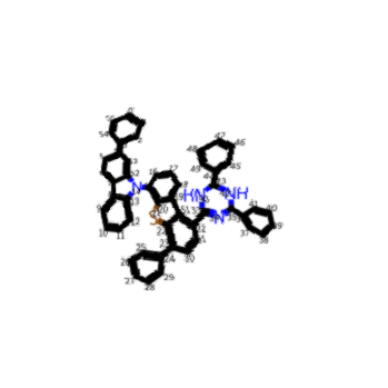 c1ccc(-c2ccc3c4ccccc4n(-c4cccc5c4sc4c(-c6ccccc6)ccc(C6=NC(c7ccccc7)NC(c7ccccc7)N6)c45)c3c2)cc1